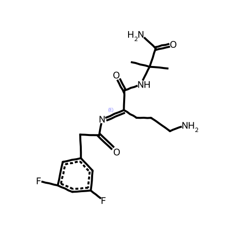 CC(C)(NC(=O)/C(CCCN)=N/C(=O)Cc1cc(F)cc(F)c1)C(N)=O